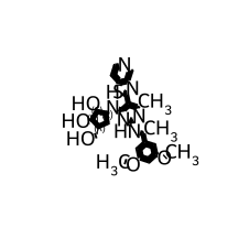 COc1cc(OC)cc(C(C)Nc2nc(C)c(-c3nc4cnccc4s3)c(N[C@@H]3C[C@H](CO)[C@@H](O)[C@H]3O)n2)c1